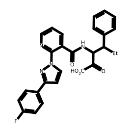 CCC(c1ccccc1)C(NC(=O)c1cccnc1-n1ccc(-c2ccc(F)cc2)n1)C(=O)C(=O)O